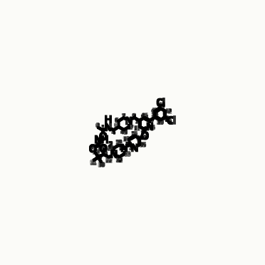 CC(=O)NCC1CCN(Cc2cc(Oc3ccc(N4CCN(CC(OC(N)=O)C(C)(C)C)CC4)nc3)nc(-c3cc(Cl)cc(Cl)c3)c2)CC1